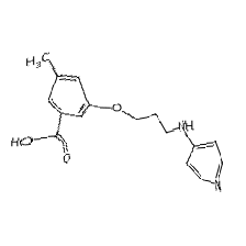 Cc1cc(OCCCNc2ccncc2)cc(C(=O)O)c1